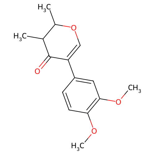 COc1ccc(C2=COC(C)C(C)C2=O)cc1OC